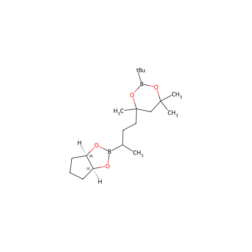 CC(CCC1(C)CC(C)(C)OB(C(C)(C)C)O1)B1O[C@H]2CCC[C@H]2O1